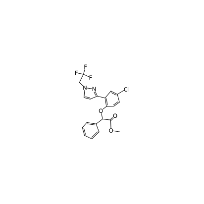 COC(=O)C(Oc1ccc(Cl)cc1-c1ccn(CC(F)(F)F)n1)c1ccccc1